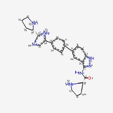 O=C(Nc1n[nH]c2ccc(-c3ccc(-c4cnc([C@@H]5CCCN5)[nH]4)cc3)cc12)[C@@H]1CCCN1